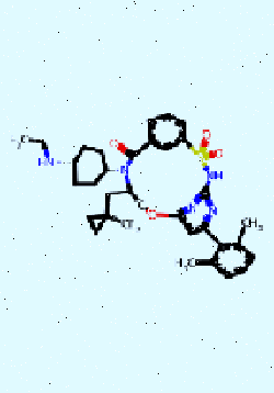 Cc1cccc(C)c1-c1cc2nc(n1)NS(=O)(=O)c1cccc(c1)C(=O)N([C@H]1CC[C@@H](NCC(F)(F)F)CC1)[C@H](CC1(C(F)(F)F)CC1)CO2